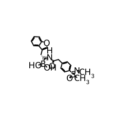 CN=S(C)(=O)c1ccc(CC(=O)N[C@@H](Cc2coc3ccccc23)B(O)O)cc1